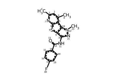 Cc1cc(C)c2c(n1)sc1c(NC(=O)c3ccc(F)cc3)nn(C)c12